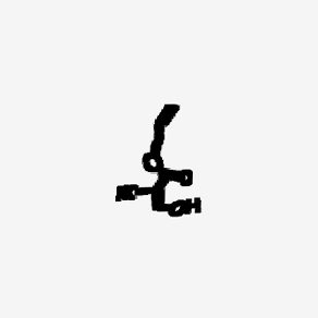 C=CCOC(=O)C(C#N)=CO